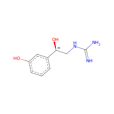 N=C(N)NC[C@H](O)c1cccc(O)c1